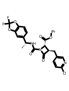 CC(C)OC(=O)[C@@H]1[C@@H](Cc2ccc(Cl)nc2)C(=O)N1C(=O)N[C@H](C)c1ccc2c(c1)OC(F)(F)O2